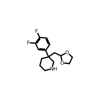 Fc1ccc(C2(CC3OCCO3)CCCNC2)cc1F